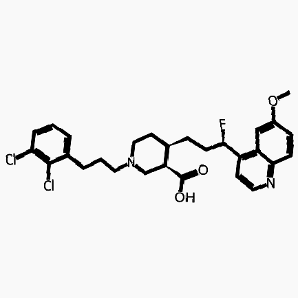 COc1ccc2nccc([C@H](F)CC[C@@H]3CCN(CCCc4cccc(Cl)c4Cl)C[C@@H]3C(=O)O)c2c1